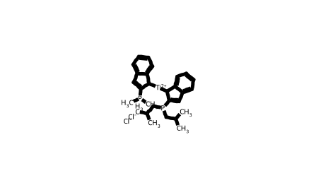 CC(C)CP(CC(C)C)C1=Cc2ccccc2[CH]1[Ti+2][CH]1C(P(C)C)=Cc2ccccc21.[Cl-].[Cl-]